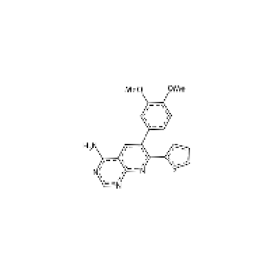 COc1ccc(-c2cc3c(N)ncnc3nc2-c2cccs2)cc1OC